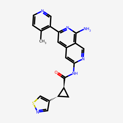 Cc1ccncc1-c1cc2cc(NC(=O)[C@H]3C[C@@H]3c3cnsc3)ncc2c(N)n1